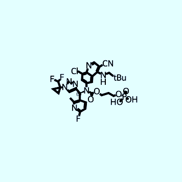 Cc1nc(F)ccc1[C@@H](c1cn(C2(C(F)F)CC2)nn1)N(C(=O)OCCCOP(=O)(O)O)c1cc(Cl)c2ncc(C#N)c(NCC(C)(C)C)c2c1